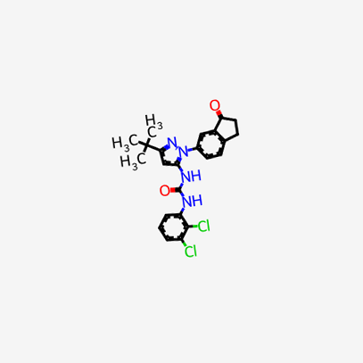 CC(C)(C)c1cc(NC(=O)Nc2cccc(Cl)c2Cl)n(-c2ccc3c(c2)C(=O)CC3)n1